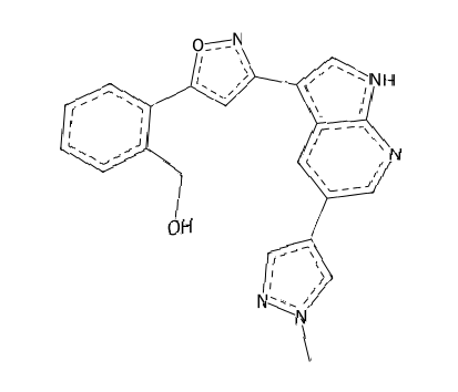 Cn1cc(-c2cnc3[nH]cc(-c4cc(-c5ccccc5CO)on4)c3c2)cn1